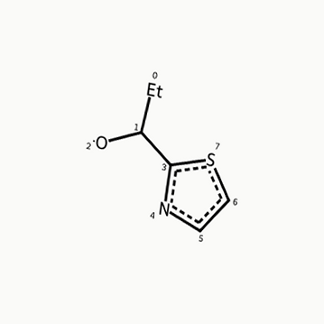 CCC([O])c1nccs1